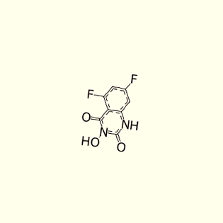 O=c1[nH]c2cc(F)cc(F)c2c(=O)n1O